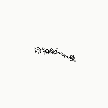 CN(C)CCOCCOCCn1ccc(NC(=O)c2ccc(NC(=O)C(N)CO)cc2)nc1=O